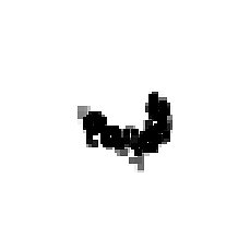 CN1CCC(N(C)c2nc3cc(NC(=O)Oc4ccc(-c5ccc(F)cc5Cl)cc4)ccc3o2)CC1